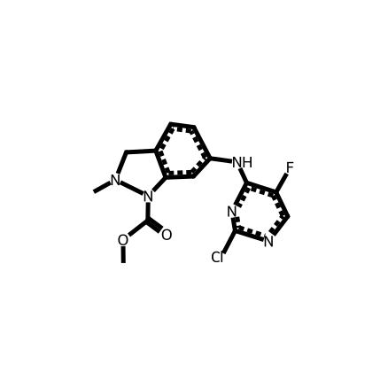 COC(=O)N1c2cc(Nc3nc(Cl)ncc3F)ccc2CN1C